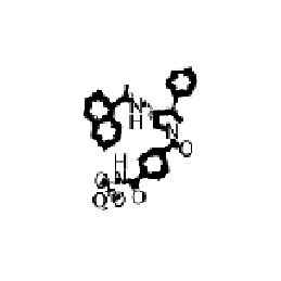 COS(=O)(=O)NC(=O)c1ccc(C(=O)N2C[C@H](CN[C@H](C)c3cccc4ccccc34)[C@@H](c3ccccc3)C2)cc1